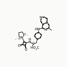 Cc1cc2ccncc2c(Nc2ccc(C[C@H](Nc3c(N4[C@H](C)CC[C@@H]4C)c(=O)c3=O)C(=O)O)cc2)n1